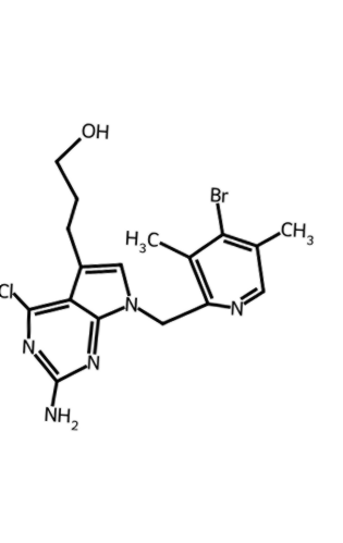 Cc1cnc(Cn2cc(CCCO)c3c(Cl)nc(N)nc32)c(C)c1Br